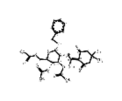 CC(=O)OC[C@H]1O[C@H](OCc2ccccc2)[C@H](NC(C)=C2C(=O)CC(C)(C)CC2=O)[C@@H](OC(C)=O)[C@@H]1OC(C)=O